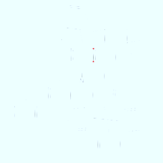 CC1(C)CCC(C)(C)c2cc(-c3cc4c(cc3N(c3ccc(-c5ccccc5)cc3)c3ccc5c(c3)C(C)(C)c3ccccc3-5)C3(c5ccccc5-c5ccccc53)c3ccccc3-4)ccc21